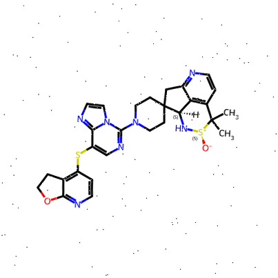 CC1(C)c2ccnc3c2[C@@H](N[S@+]1[O-])C1(CCN(c2ncc(Sc4ccnc5c4CCO5)c4nccn24)CC1)C3